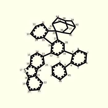 c1ccc(-c2ccccc2-c2cc(-c3ccc4sc5ccccc5c4c3)c3c(c2)C2(c4ccccc4-3)C3CC4CC(C3)CC2C4)cc1